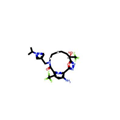 CC(C)n1cc(CN2CCCCC[C@](O)(C(F)(F)F)c3nnc(o3)-c3nc(c(C(F)(F)F)cc3N)C2=O)cn1